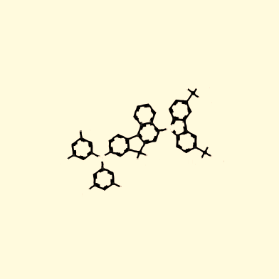 Cc1cc(C)cc(N(c2cc(C)cc(C)c2)c2ccc3c(c2)C(C)(C)c2cc(-n4c5ccc(C(C)(C)C)cc5c5cc(C(C)(C)C)ccc54)c4ccccc4c2-3)c1